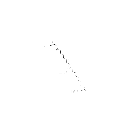 CCCCCCCCC(CCCCCCCC)OCCCCCCCCN(CCO)CCCCCCCC(=O)OC1CC1CCCCCCC